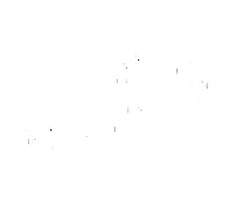 Cc1cc(-c2ncnc3[nH]c(-c4c(C)nn(C5CCN(CC6CCN(c7ccc(N8CCC(=O)NC8=O)cc7)CC6)CC5)c4C)cc23)ccc1C(C)N(C)C(=O)c1nc(C(C)(C)C)no1